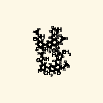 Cc1c(F)cc(C(=O)NC2CC2)cc1-c1ccc2c(=O)n(CC3CC3)cc(CN3CCN(C)[C@@H](CO)C3)c2c1.Cc1c(F)cc(C(=O)NC2CC2)cc1-c1ccc2c(=O)n(CC3CC3)cc(CN3CCNCC3)c2c1